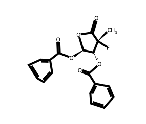 C[C@]1(F)C(=O)O[C@H](OC(=O)c2ccccc2)[C@H]1OC(=O)c1ccccc1